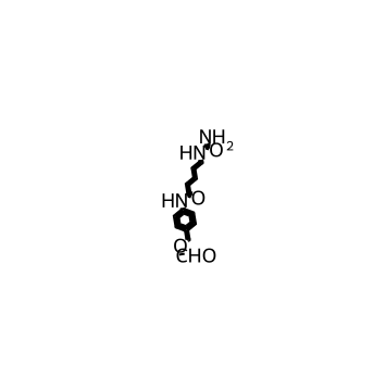 NC(=O)NCCCCC(=O)Nc1ccc(COC=O)cc1